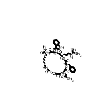 C[C@H]1CCC(=O)NCCCC[C@@H](C(N)=O)NC(=O)[C@H](Cc2c[nH]c3ccccc23)NC(=O)[C@H](CCCNC(=N)N)NC(=O)[C@@H](Cc2ccccc2)NC(=O)[C@H](CC(N)=O)NC1=O